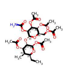 CC[C@@H]1O[C@H](OC(C)=O)[C@@H](O[C@H]2O[C@H](COC(C)=O)[C@@H](OC(C)=O)[C@H](OC(C)=O)[C@@H]2OC(N)=O)[C@@H](OC(C)=O)[C@@H]1C